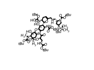 CN(C(=O)OC(C)(C)C)[C@@H]1[C@@H](O)[C@@H](O[C@H]2[C@H](NC(=O)[C@@H](O)CNC(=O)OC(C)(C)C)C[C@H](NC(=O)OC(C)(C)C)C([C@H]3OC(CNC[C@H]4C[C@H](O[Si](C)(C)C(C)(C)C)CN4C(=O)OC(C)(C)C)=CC[C@H]3NC(O)OC(C)(C)C)[C@@H]2O)CC[C@]1(C)O